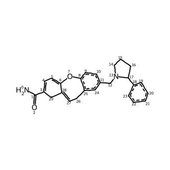 NC(=O)C1=CC=C2Oc3ccc(CN4CCCC4c4ccccc4)cc3CC=C2C1